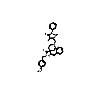 COc1ccc(CNC(=O)C2(/C=C\c3ccccc3)CCN(Cc3c(C)c(=O)n(-c4ccccc4)n3C)CC2)cc1